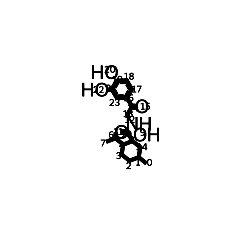 CC1CCC(C(C)C)C(O)(C(=O)NCC(=O)c2ccc(O)c(O)c2)C1